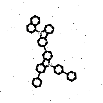 c1ccc(-c2ccc(-n3c4ccc(-c5ccc6c(c5)c5ccccc5n6-c5cccc6ccccc56)cc4c4ccc(-c5ccccc5)cc43)cc2)cc1